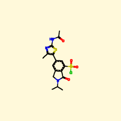 CC(=O)Nc1nc(C)c(-c2cc3c(c(S(=O)(=O)Cl)c2)C(=O)N(C(C)C)C3)s1